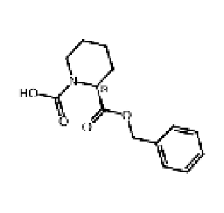 O=C(OCc1ccccc1)[C@@H]1CCCCN1C(=O)O